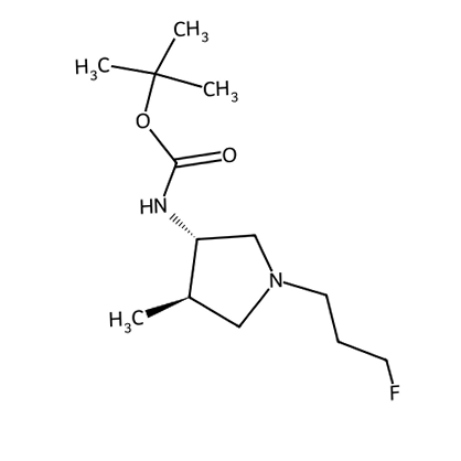 C[C@@H]1CN(CCCF)C[C@H]1NC(=O)OC(C)(C)C